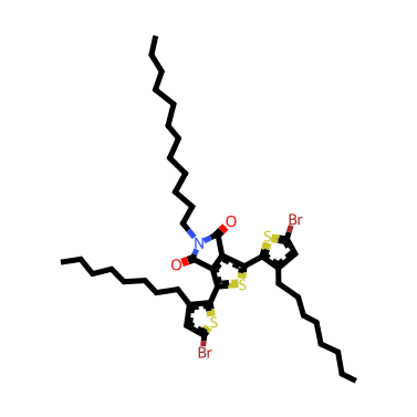 CCCCCCCCCCCCN1C(=O)c2c(-c3sc(Br)cc3CCCCCCCC)sc(-c3sc(Br)cc3CCCCCCCC)c2C1=O